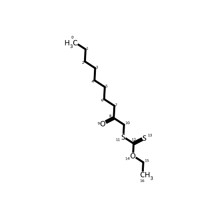 CCCCCCCCC(=O)CSC(=S)OCC